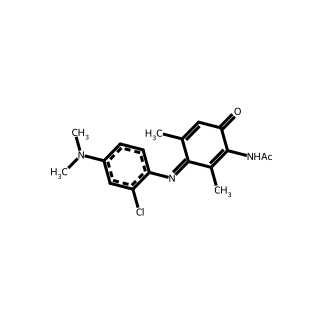 CC(=O)NC1=C(C)C(=Nc2ccc(N(C)C)cc2Cl)C(C)=CC1=O